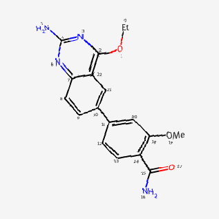 CCOc1nc(N)nc2ccc(-c3ccc(C(N)=O)c(OC)c3)cc12